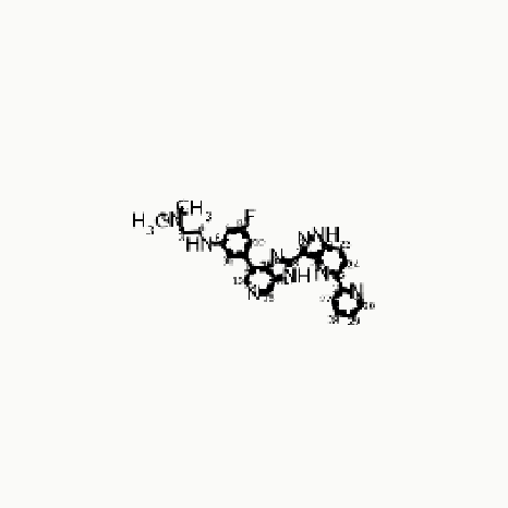 CN(C)CCNc1cc(F)cc(-c2cncc3[nH]c(-c4n[nH]c5ccc(-c6ccccn6)nc45)nc23)c1